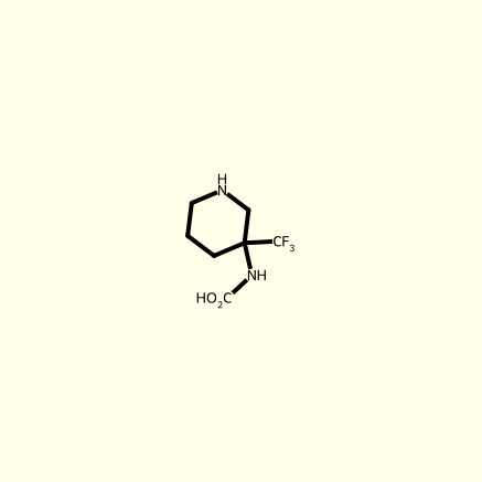 O=C(O)NC1(C(F)(F)F)CCCNC1